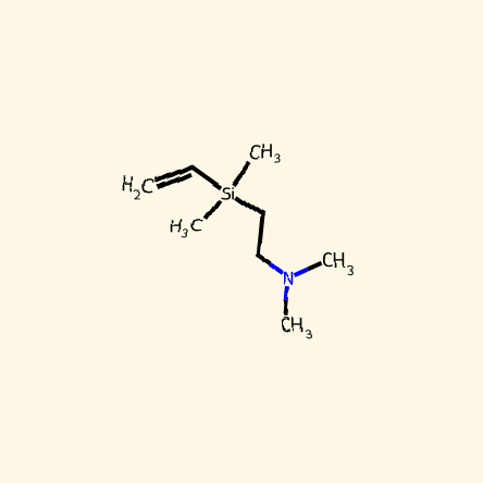 C=C[Si](C)(C)CCN(C)C